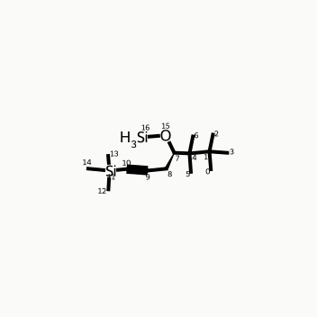 CC(C)(C)C(C)(C)[C@@H](CC#C[Si](C)(C)C)O[SiH3]